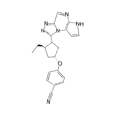 CC[C@@H]1C[C@@H](Oc2ccc(C#N)cc2)CC1c1nnc2cnc3[nH]ccc3n12